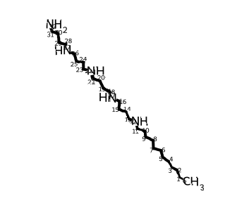 CCCCCCCCCCCCNCCCCNCCCCNCCCCNCCCCN